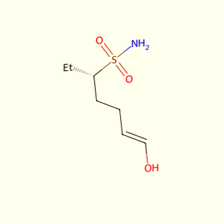 CC[C@@H](CCC=CO)S(N)(=O)=O